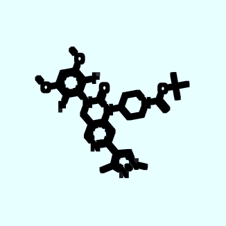 C=C(OC(C)(C)C)N1CCC(N2C(=O)N(c3c(F)c(OC)cc(OC)c3F)Cc3cnc(-c4cn(C)nc4C)cc32)CC1